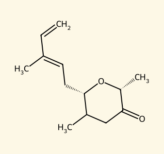 C=C/C(C)=C/C[C@@H]1O[C@H](C)C(=O)CC1C